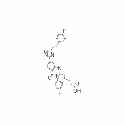 O=C(O)CCCCc1nc2cc(-c3noc(CCc4ccc(F)cc4)n3)ccc2c(=O)n1-c1ccc(F)cc1